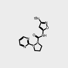 CC(C)(C)c1cc(NC(=O)N2CCCN2c2ncccn2)on1